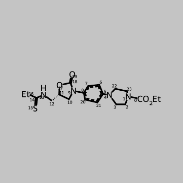 CCOC(=O)N1CCN(c2ccc(N3C[C@H](CNC(=S)CC)OC3=O)cc2)CC1